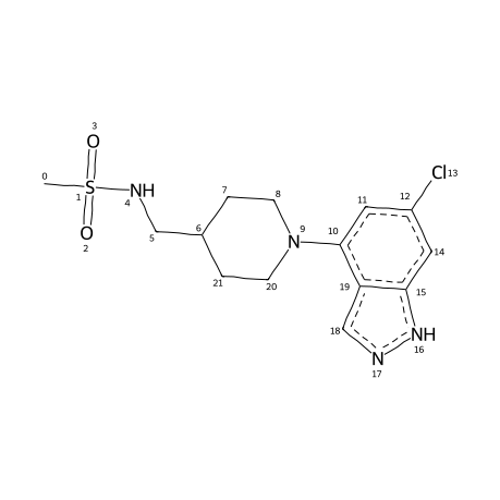 CS(=O)(=O)NCC1CCN(c2cc(Cl)cc3[nH]ncc23)CC1